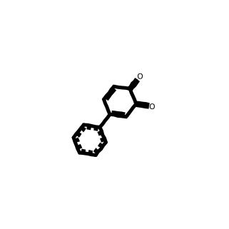 O=C1[C]=C(c2ccccc2)C=CC1=O